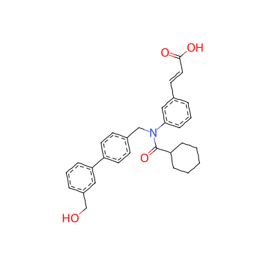 O=C(O)C=Cc1cccc(N(Cc2ccc(-c3cccc(CO)c3)cc2)C(=O)C2CCCCC2)c1